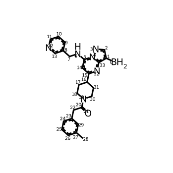 Bc1cnn2c(NCc3cccnc3)cc(C3CCN(C(=O)Cc4cccc(C)c4)CC3)nc12